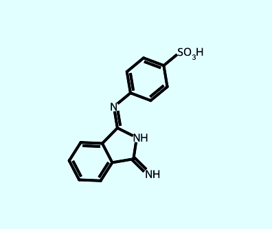 N=C1N/C(=N\c2ccc(S(=O)(=O)O)cc2)c2ccccc21